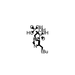 CC(C)(C)Cc1cn(CC(O)(P(=O)(O)O)P(=O)(O)O)cn1